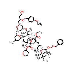 C=C1C[C@@H](C[C@H]2C[C@@H](O[Si](C)(C)C(C)(C)C)C[C@@H](CC(CCO)OCc3ccc(OC)cc3)O2)O[C@@H](/C=C/C(C)(C)[C@](CC(=CC(=O)OC)C[C@H](CC)C[C@@H](O[Si](C)(C)C(C)(C)C)[C@@H](C)OCOCc2ccccc2)(OC)C(=O)OC2CCCOC2)C1